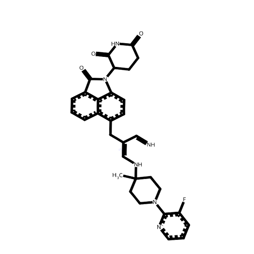 CC1(N/C=C(\C=N)Cc2ccc3c4c(cccc24)C(=O)N3C2CCC(=O)NC2=O)CCN(c2ncccc2F)CC1